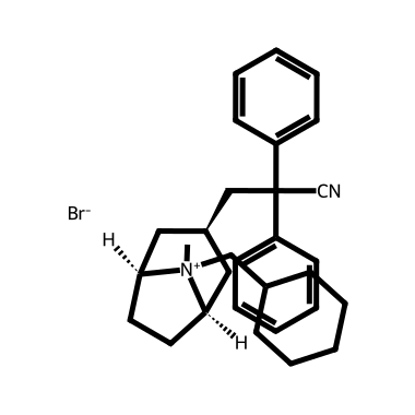 C[N+]1(CC2CCCCC2)[C@@H]2CC[C@H]1C[C@@H](CC(C#N)(c1ccccc1)c1ccccc1)C2.[Br-]